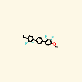 CCOc1ccc(-c2ccc(-c3ccc(CC)c(F)c3F)cc2)c(F)c1F